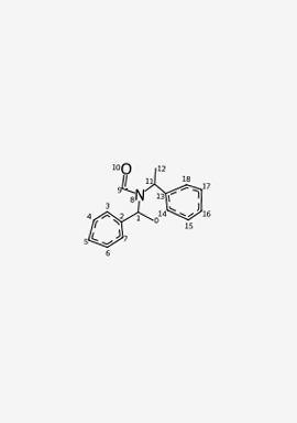 CC(c1ccccc1)N([C]=O)C(C)c1ccccc1